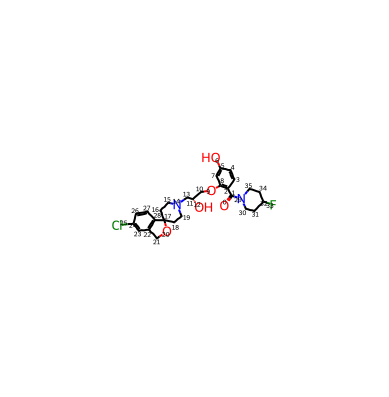 O=C(c1ccc(O)cc1OC[C@H](O)CN1CCC2(CC1)OCc1cc(Cl)ccc12)N1CCC(F)CC1